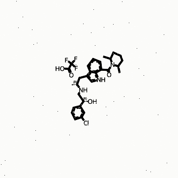 CC1CCCC(C)N1C(=O)c1cccc2c(C[C@@H](C)NC[C@H](O)c3cccc(Cl)c3)c[nH]c12.O=C(O)C(F)(F)F